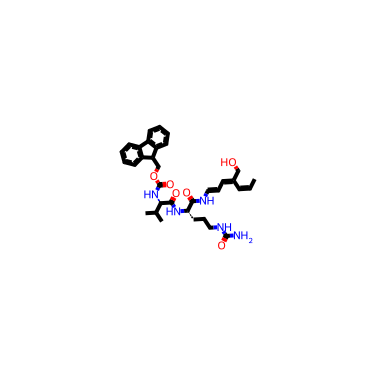 C\C=C/C(=C\C=C\NC(=O)[C@H](CCCNC(N)=O)NC(=O)[C@@H](NC(=O)OCC1c2ccccc2-c2ccccc21)C(C)C)CO